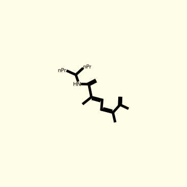 C=C(C)/C(C)=C\C=C(/C)C(=C)NC(CCC)CCC